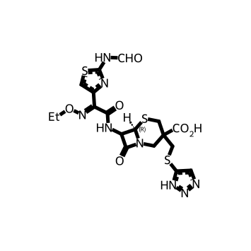 CCON=C(C(=O)NC1C(=O)N2CC(CSc3cnn[nH]3)(C(=O)O)CS[C@H]12)c1csc(NC=O)n1